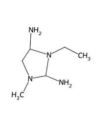 CCN1C(N)CN(C)C1N